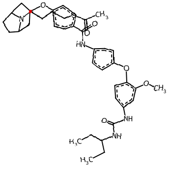 CCC(CC)NC(=O)Nc1ccc(Oc2ccc(NC(=O)c3ccc(OC4CC5CCC(C4)N5CCCCOC(C)=O)cc3)cc2)c(OC)c1